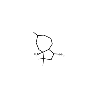 CC1CCCC2C(N)CC(C)(C)C2(N)CC1